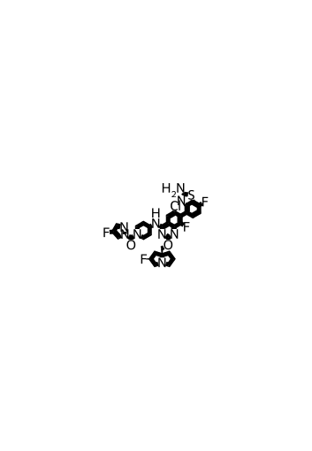 Nc1nc2c(-c3c(Cl)cc4c(NC5CCN(C(=O)n6cc(F)cn6)CC5)nc(OC[C@@]56CCCN5C[C@H](F)C6)nc4c3F)ccc(F)c2s1